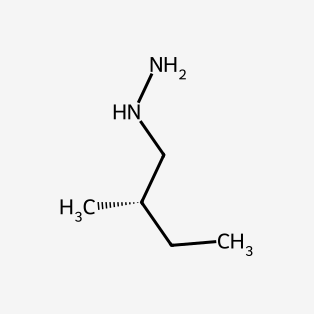 CC[C@H](C)CNN